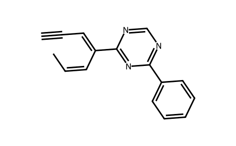 C#C/C=C(\C=C/C)c1ncnc(-c2ccccc2)n1